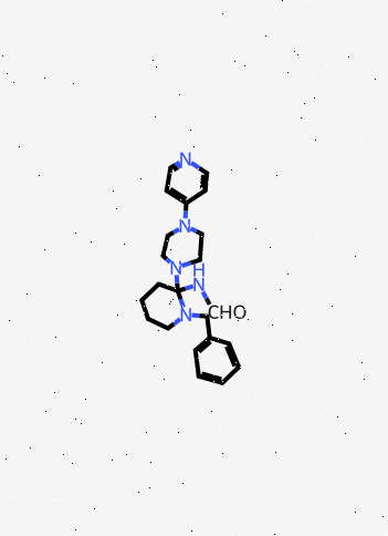 O=CNC1(N2CCN(c3ccncc3)CC2)CCCCN1Cc1ccccc1